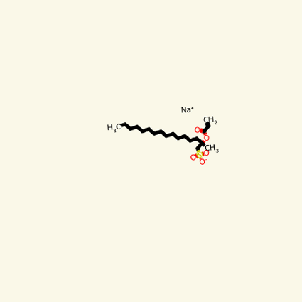 C=CC(=O)OC(C)(CCCCCCCCCCCCCC)CS(=O)(=O)[O-].[Na+]